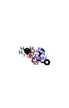 CC(C)C[C@H](NC(=O)[C@H](Cc1ccccc1)NC(=O)c1cnccn1)B1OC2C[C@@H]3C[C@@H](C3(C)C)[C@]2(C)O1